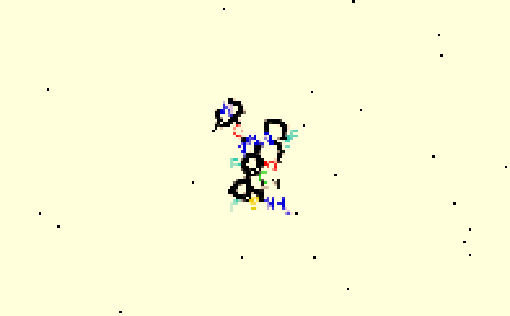 C[C@H]1CN2CCCC2(COc2nc3c4c(c(Cl)c(-c5ccc(F)c6sc(N)c(C#N)c56)c(F)c4n2)OCCC2N3CCCCC2(F)F)C1